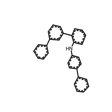 c1ccc(-c2ccc(Nc3ccccc3-c3cccc(-c4ccccc4)c3)cc2)cc1